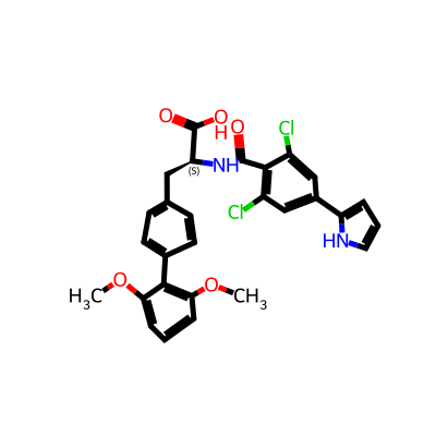 COc1cccc(OC)c1-c1ccc(C[C@H](NC(=O)c2c(Cl)cc(-c3ccc[nH]3)cc2Cl)C(=O)O)cc1